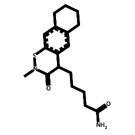 CN1Sc2cc3c(cc2C(CCCCC(N)=O)C1=O)CCCC3